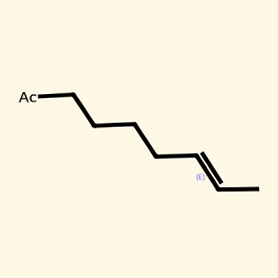 C/C=C/CCCCC(C)=O